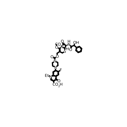 CCn1cc(C(=O)O)c(=O)c2cc(F)c(N3CCN(C(=O)OCC4=C(OC(=O)O)N5C(=O)[C@@H](NC(=O)C(O)c6ccccc6)[C@H]5SC4)CC3)cc21